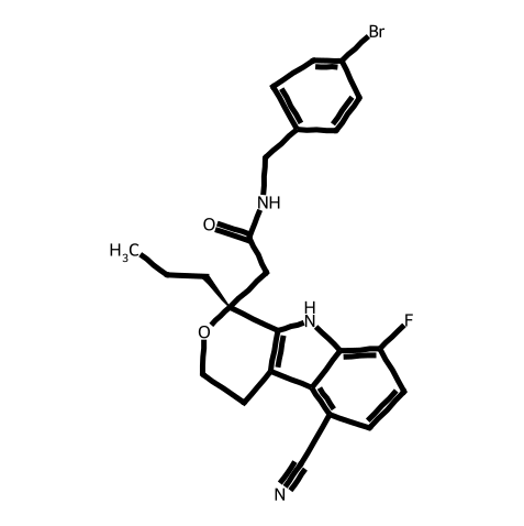 CCC[C@]1(CC(=O)NCc2ccc(Br)cc2)OCCc2c1[nH]c1c(F)ccc(C#N)c21